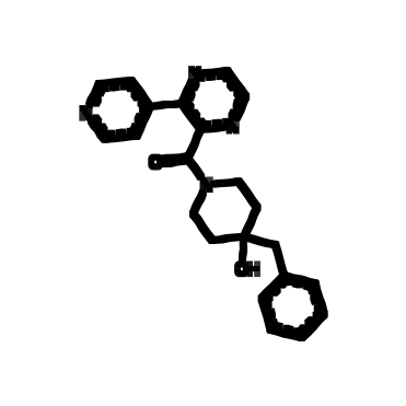 O=C(c1nccnc1-c1ccncc1)N1CCC(O)(Cc2ccccc2)CC1